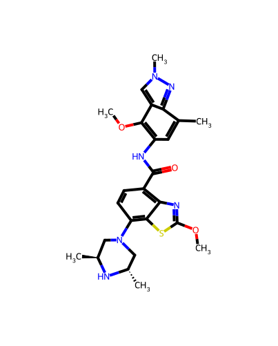 COc1nc2c(C(=O)Nc3cc(C)c4nn(C)cc4c3OC)ccc(N3C[C@H](C)N[C@@H](C)C3)c2s1